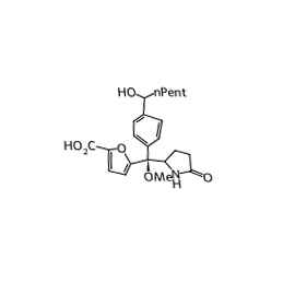 CCCCCC(O)c1ccc([C@@](OC)(c2ccc(C(=O)O)o2)C2CCC(=O)N2)cc1